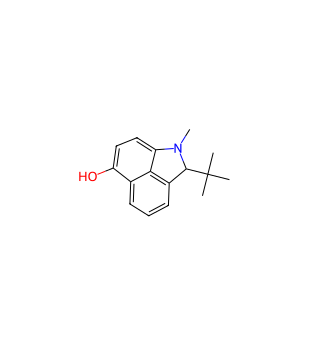 CN1c2ccc(O)c3cccc(c23)C1C(C)(C)C